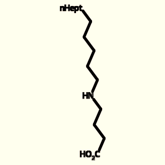 CCCCCCCCCCCCNCCCC(=O)O